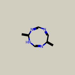 C=c1cncnc(=C)[nH]cn1